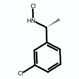 C[C@@H](NCl)c1cccc(Cl)c1